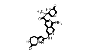 CN(C(=O)c1cc2cc(Nc3cc4n(n3)CC(=O)NCC4)ncc2c(N)n1)c1cncc(=O)[nH]1